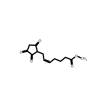 COC(=O)CCC/C=C\CC1C(=O)CC(=O)C1=O